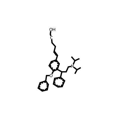 CC(C)N(CCC(c1ccccc1)c1cc(/C=C/CCCCO)ccc1OCc1ccccc1)C(C)C